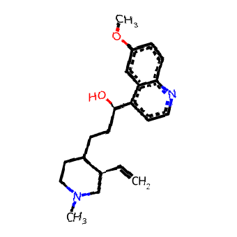 C=C[C@H]1CN(C)CCC1CC[C@@H](O)c1ccnc2ccc(OC)cc12